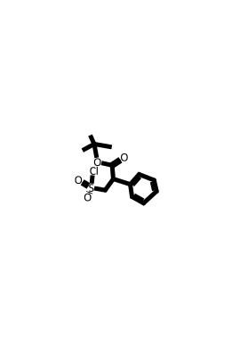 CC(C)(C)OC(=O)C(CS(=O)(=O)Cl)c1ccccc1